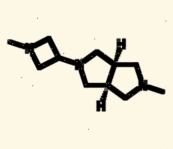 CN1CC(N2C[C@H]3CN(C)C[C@H]3C2)C1